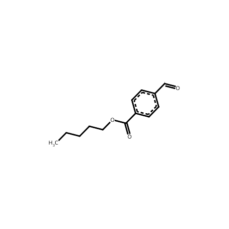 CCCCCOC(=O)c1ccc([C]=O)cc1